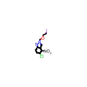 O=[N+]([O-])c1c(Cl)ccc2nn(COCCI)cc12